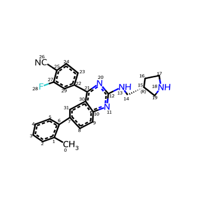 Cc1ccccc1-c1ccc2nc(NC[C@@H]3CCNC3)nc(-c3ccc(C#N)c(F)c3)c2c1